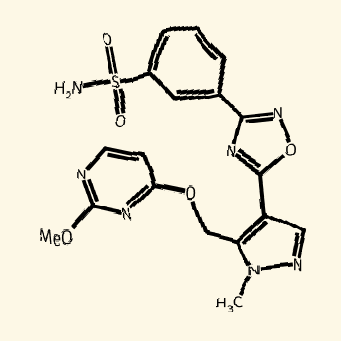 COc1nccc(OCc2c(-c3nc(-c4cccc(S(N)(=O)=O)c4)no3)cnn2C)n1